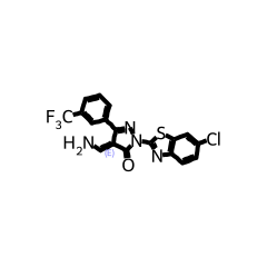 N/C=C1/C(=O)N(c2nc3ccc(Cl)cc3s2)N=C1c1cccc(C(F)(F)F)c1